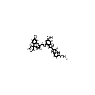 Cc1ccc2nc(-c3cc4c(OCc5csc(C6(c7ccc(Cl)cc7)CCOC6)n5)cc(O)cc4o3)cn2n1